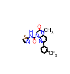 CN1C(=O)CN(C(=O)Nc2nccs2)c2nc(-c3cccc(C(F)(F)F)c3)ccc21